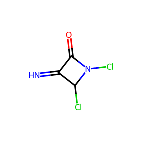 N=C1C(=O)N(Cl)C1Cl